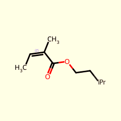 C/C=C(/C)C(=O)OCCC(C)C